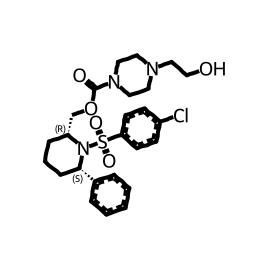 O=C(OC[C@H]1CCC[C@@H](c2ccccc2)N1S(=O)(=O)c1ccc(Cl)cc1)N1CCN(CCO)CC1